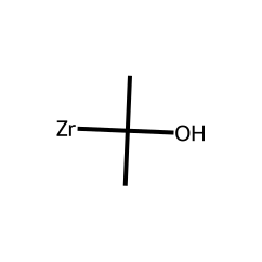 C[C](C)(O)[Zr]